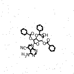 C#C[C@H](OC(=O)c1ccccc1)[C@@H]1O[C@H](n2cc(C#N)c3c(N)ncnc32)[C@@H](OC(=O)c2ccccc2)[C@H]1OC(=O)c1ccccc1